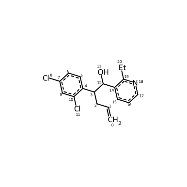 C=CCC(c1ccc(Cl)cc1Cl)C(O)c1cccnc1CC